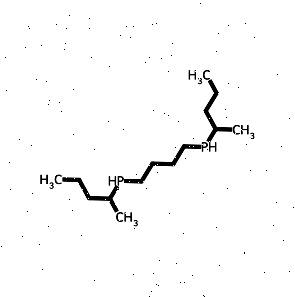 CCCC(C)PCCCCPC(C)CCC